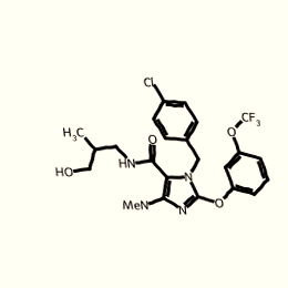 CNc1nc(Oc2cccc(OC(F)(F)F)c2)n(Cc2ccc(Cl)cc2)c1C(=O)NCC(C)CO